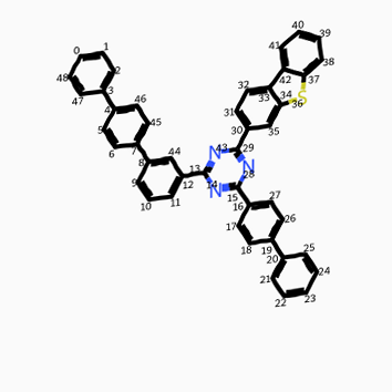 c1ccc(-c2ccc(-c3cccc(-c4nc(-c5ccc(-c6ccccc6)cc5)nc(-c5ccc6c(c5)sc5ccccc56)n4)c3)cc2)cc1